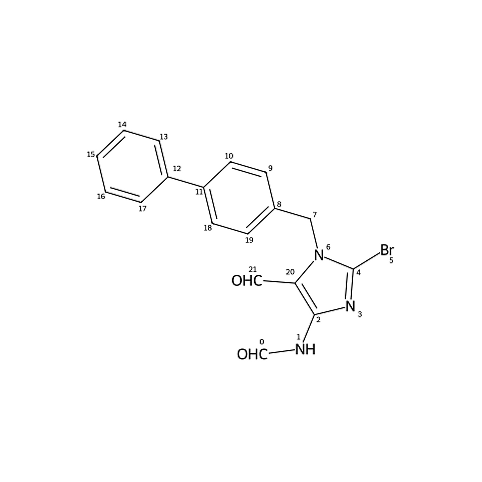 O=CNc1nc(Br)n(Cc2ccc(-c3ccccc3)cc2)c1C=O